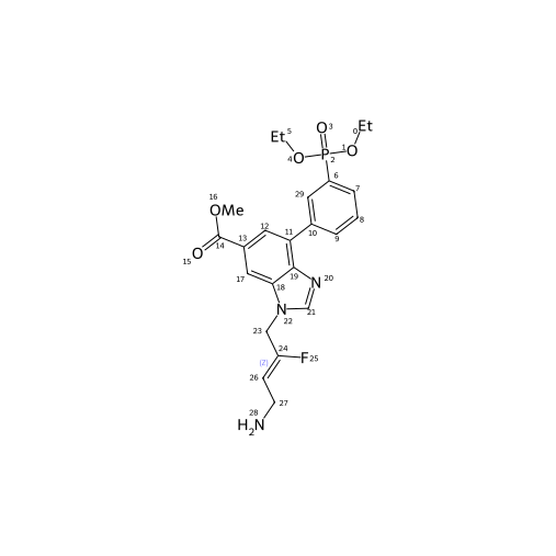 CCOP(=O)(OCC)c1cccc(-c2cc(C(=O)OC)cc3c2ncn3C/C(F)=C/CN)c1